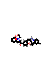 CCC(Cc1ccccc1)(C(=O)c1ccc2c(c1)C=CC1(O2)N(C)c2ccc(C)cc2C1(C)C)N1CCOCC1